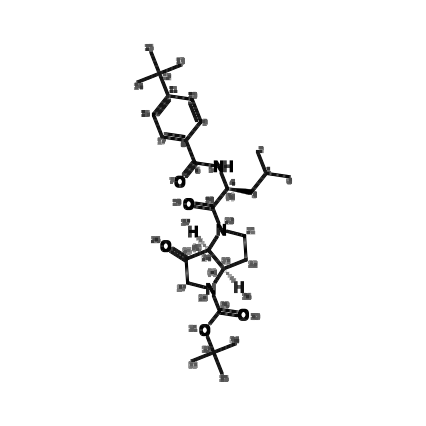 CC(C)C[C@H](NC(=O)c1ccc(C(C)(C)C)cc1)C(=O)N1CC[C@@H]2[C@H]1C(=O)CN2C(=O)OC(C)(C)C